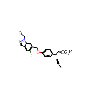 CC#C[C@@H](CC(=O)O)c1ccc(OCc2cc3c(cnn3CC(C)C)cc2F)cc1